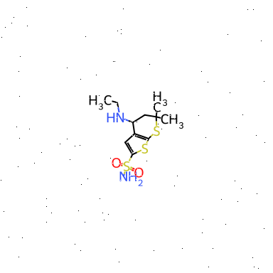 CCNC1CC(C)(C)Sc2sc(S(N)(=O)=O)cc21